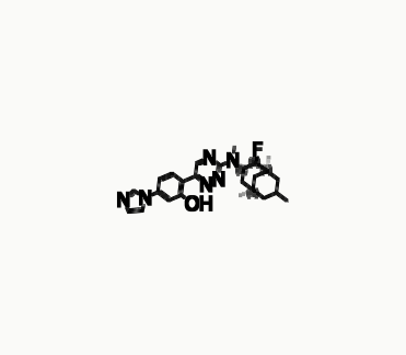 CC1C[C@@]2(C)C[C@H](N(C)c3ncc(-c4ccc(-n5ccnc5)cc4O)nn3)[C@@H](F)[C@@](C)(C1)C2